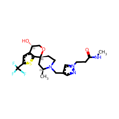 CNC(=O)CCn1cc(CN2CC[C@]3(C[C@@H]2C)OC[C@@H](O)c2cc(C(F)(F)F)sc23)cn1